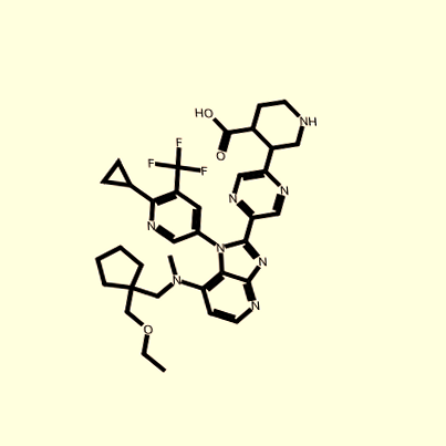 CCOCC1(CN(C)c2ccnc3nc(-c4cnc(C5CNCCC5C(=O)O)cn4)n(-c4cnc(C5CC5)c(C(F)(F)F)c4)c23)CCCC1